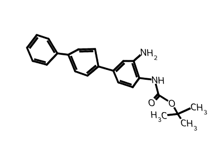 CC(C)(C)OC(=O)Nc1ccc(-c2ccc(-c3ccccc3)cc2)cc1N